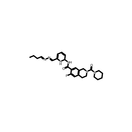 CCC/C=N/N=C/C1=CC=CC(NC(=O)c2cc3c(cc2F)CCN(C(=O)N2CCCCC2)C3)N1